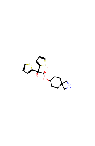 O=C(OC1CCC2(CC1)CNC2)C(O)(c1cccs1)c1cccs1